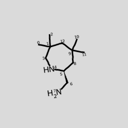 CC1(C)CN[C@H](CN)CC(C)(C)C1